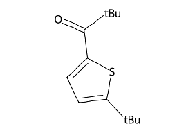 CC(C)(C)C(=O)c1ccc(C(C)(C)C)s1